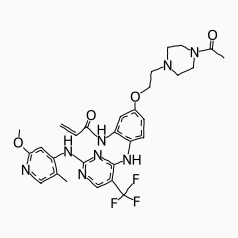 C=CC(=O)Nc1cc(OCCN2CCN(C(C)=O)CC2)ccc1Nc1nc(Nc2cc(OC)ncc2C)ncc1C(F)(F)F